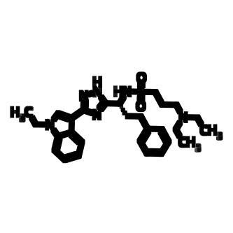 CCN(CC)CCCS(=O)(=O)N[C@H](CCc1ccccc1)c1nc(-c2cn(CC)c3ccccc23)n[nH]1